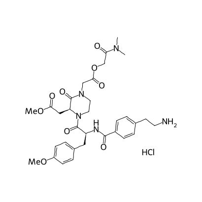 COC(=O)C[C@H]1C(=O)N(CC(=O)OCC(=O)N(C)C)CCN1C(=O)[C@H](Cc1ccc(OC)cc1)NC(=O)c1ccc(CCN)cc1.Cl